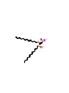 CCCCCCCCCCCCS/C(=C\[N+](=O)[O-])[S+]([O-])CCCCCCCCCCCC